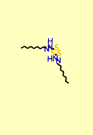 CCCCCCCC=NNC(=S)SC(=S)NN=CCCCCCCC